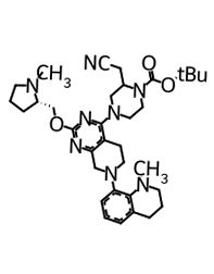 CN1CCCc2cccc(N3CCc4c(nc(OC[C@@H]5CCCN5C)nc4N4CCN(C(=O)OC(C)(C)C)C(CC#N)C4)C3)c21